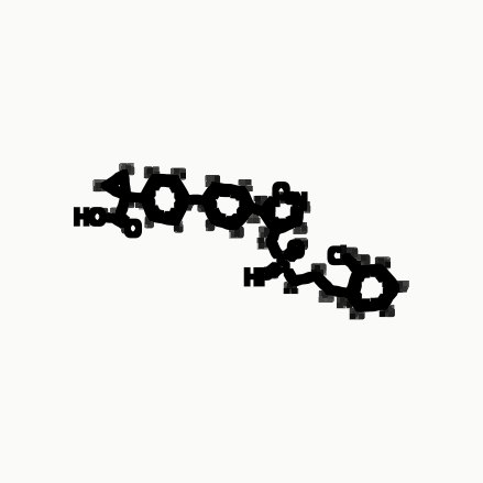 O=C(O)C1(c2ccc(-c3ccc(-c4oncc4CS(=O)(=P)CCCc4ccccc4Cl)cc3)cc2)CC1